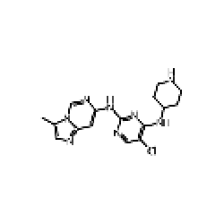 Cc1cnc2cc(Nc3ncc(Cl)c(NC4CCNCC4)n3)ncn12